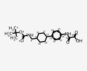 CC(C)(C)OC(=O)NCC1CCC(c2ccc(NC(=O)C(=O)O)cc2)CC1